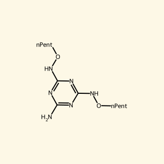 CCCCCONc1nc(N)nc(NOCCCCC)n1